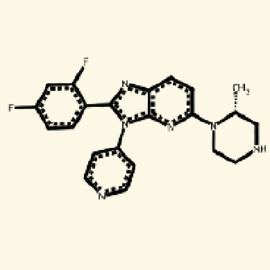 C[C@@H]1CNCCN1c1ccc2nc(-c3ccc(F)cc3F)n(-c3ccncc3)c2n1